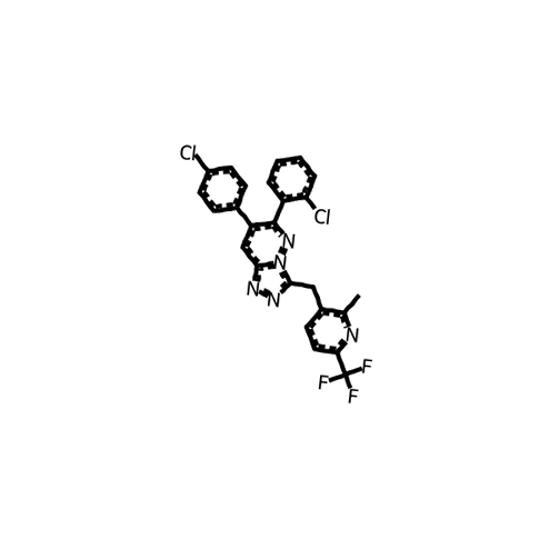 Cc1nc(C(F)(F)F)ccc1Cc1nnc2cc(-c3ccc(Cl)cc3)c(-c3ccccc3Cl)nn12